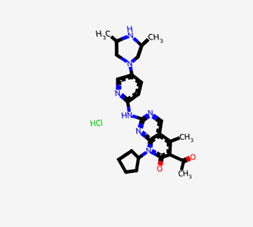 CC(=O)c1c(C)c2cnc(Nc3ccc(N4CC(C)NC(C)C4)cn3)nc2n(C2CCCC2)c1=O.Cl